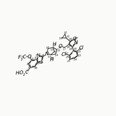 O=C(O)c1cc(OC(F)(F)F)c2nc(N3C[C@@H]4C[C@H]3C[C@H]4OCc3c(-c4c(Cl)cccc4Cl)noc3C3CC3)sc2c1